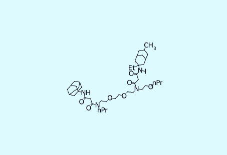 CCCOCCN(CCOCCOCCN(CCC)C(=O)CC(=O)NC12CC3CC(CC(C3)C1)C2)C(=O)CC(=O)N(I)C1(CC)CC2CC(C)CC(C2)C1